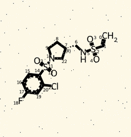 C=CS(=O)(=O)NC[C@H]1CCN(S(=O)(=O)c2ccc(F)cc2Cl)C1